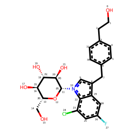 OCCc1ccc(Cc2cn([C@@H]3O[C@H](CO)[C@@H](O)[C@H](O)[C@H]3O)c3c(Cl)cc(F)cc23)cc1